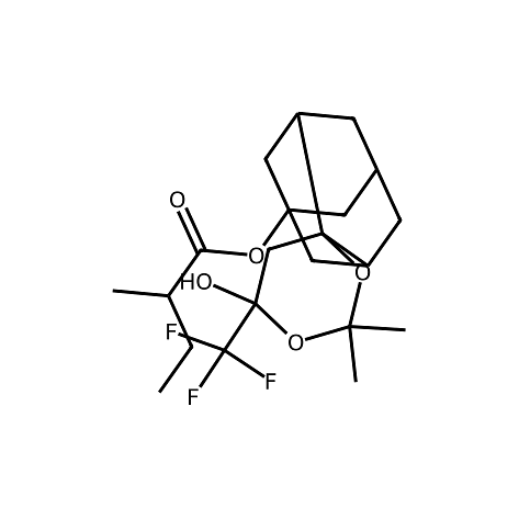 CCC(C)C(=O)OC12CC3CC(C1)C1(CC(O)(C(F)(F)F)OC(C)(C)O1)C(C3)C2